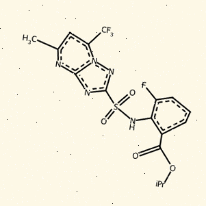 Cc1cc(C(F)(F)F)n2nc(S(=O)(=O)Nc3c(F)cccc3C(=O)OC(C)C)nc2n1